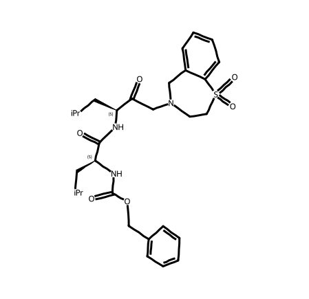 CC(C)C[C@H](NC(=O)[C@H](CC(C)C)NC(=O)OCc1ccccc1)C(=O)CN1CCS(=O)(=O)c2ccccc2C1